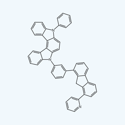 c1ccc(-n2c3ccccc3c3c4c5ccccc5n(-c5cccc(-c6cccc7c6Cc6c(-c8ccccn8)cccc6-7)c5)c4ccc32)cc1